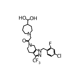 O=C(CN1CCCC(C(O)O)CC1)N1CCc2c(C(F)(F)F)nn(Cc3ccc(Cl)cc3F)c2C1